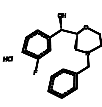 Cl.O[C@@H](c1cccc(F)c1)[C@H]1CN(Cc2ccccc2)CCO1